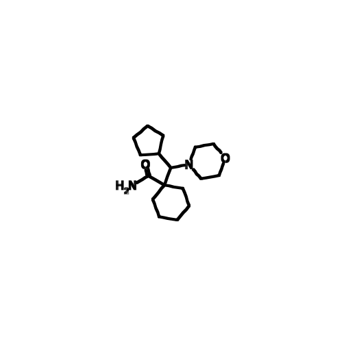 NC(=O)C1(C(C2CCCC2)N2CCOCC2)CCCCC1